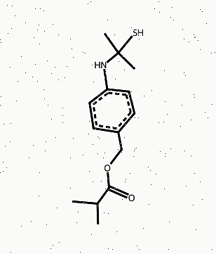 CC(C)C(=O)OCc1ccc(NC(C)(C)S)cc1